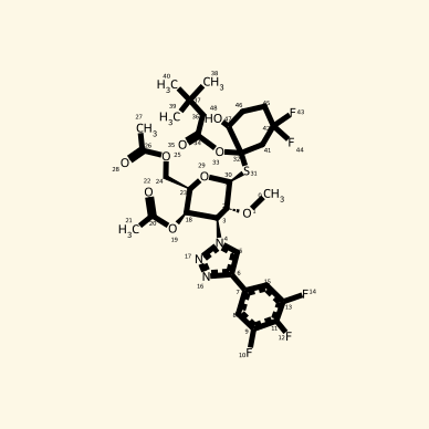 CO[C@@H]1[C@@H](n2cc(-c3cc(F)c(F)c(F)c3)nn2)[C@@H](OC(C)=O)[C@@H](COC(C)=O)O[C@H]1SC1(OC(=O)CC(C)(C)C)CC(F)(F)CCC1O